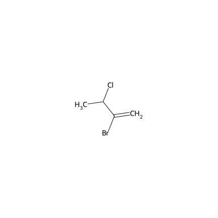 C=C(Br)C(C)Cl